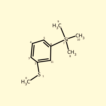 CSc1cccc([Si](C)(C)C)c1